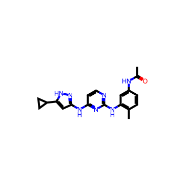 CC(=O)Nc1ccc(C)c(Nc2nccc(Nc3cc(C4CC4)[nH]n3)n2)c1